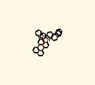 c1ccc(-c2ccc(-n3c4ccccc4c4cc(-c5cccc6cccc(-c7ccc8c(c7)c7ccccc7n8-c7ccc8ccccc8c7)c56)ccc43)cc2)cc1